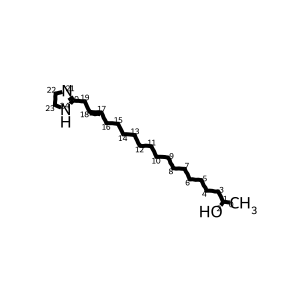 CC(O)CCCCCCCCCCCCCCC=CCC1=NCCN1